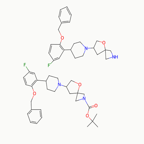 CC(C)(C)OC(=O)N1CC2(CC(N3CCC(c4cc(F)ccc4OCc4ccccc4)CC3)CO2)C1.Fc1ccc(OCc2ccccc2)c(C2CCN(C3COC4(CNC4)C3)CC2)c1